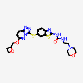 O=C(NCCN1CCOCC1)Nc1nc2ccc(Sc3nnc4ccc(OCC5CCO5)nn34)cc2s1